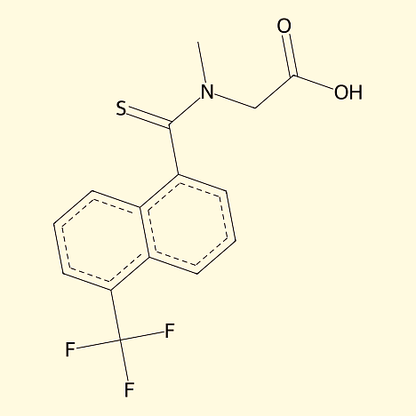 CN(CC(=O)O)C(=S)c1cccc2c(C(F)(F)F)cccc12